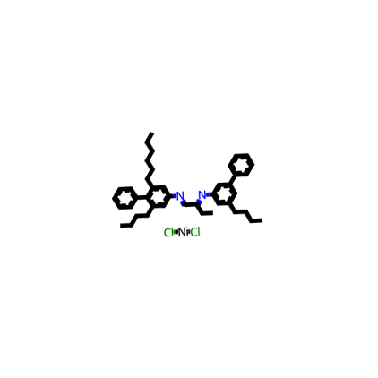 CCCCCCc1cc(N=CC(CC)=Nc2cc(CCCC)cc(-c3ccccc3)c2)cc(CCCC)c1-c1ccccc1.[Cl][Ni][Cl]